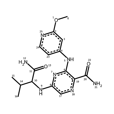 COc1cc(Nc2nc(NC(C(N)=O)C(C)C)cnc2C(N)=O)ccn1